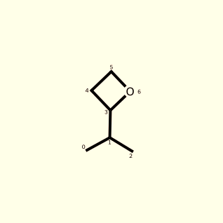 CC(C)C1CCO1